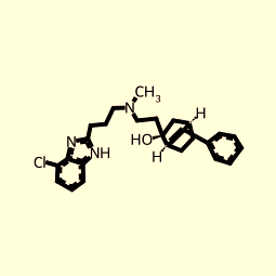 CN(CCCc1nc2c(Cl)cccc2[nH]1)CC[C@]1(O)C[C@H]2CC[C@@H]1C=C2c1ccccc1